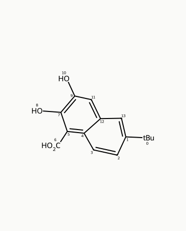 CC(C)(C)c1ccc2c(C(=O)O)c(O)c(O)cc2c1